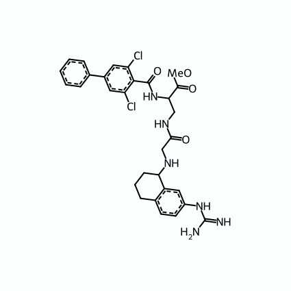 COC(=O)C(CNC(=O)CNC1CCCc2ccc(NC(=N)N)cc21)NC(=O)c1c(Cl)cc(-c2ccccc2)cc1Cl